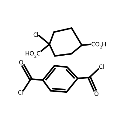 O=C(Cl)c1ccc(C(=O)Cl)cc1.O=C(O)C1CCC(Cl)(C(=O)O)CC1